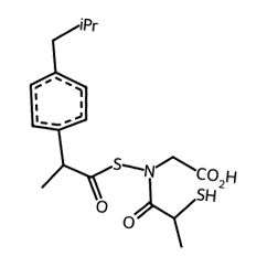 CC(C)Cc1ccc(C(C)C(=O)SN(CC(=O)O)C(=O)C(C)S)cc1